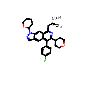 C[C@H](Cc1nc(C2CCOCC2)c(-c2ccc(F)cc2)c2cc3cnn(C4CCCCO4)c3cc12)C(=O)O